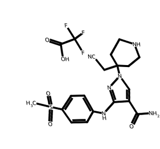 CS(=O)(=O)c1ccc(Nc2nn(C3(CC#N)CCNCC3)cc2C(N)=O)cc1.O=C(O)C(F)(F)F